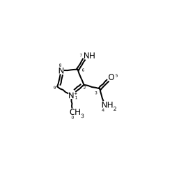 C[N+]1=C(C(N)=O)C(=N)N=C1